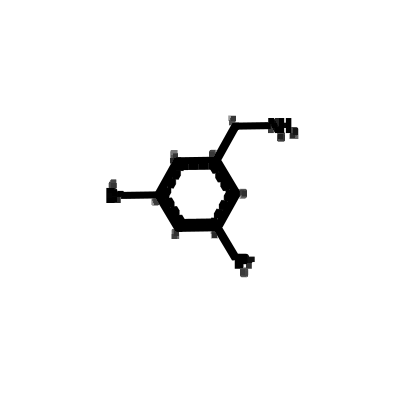 CC(C)c1cc(Br)[c]c(CN)c1